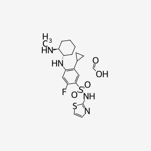 CN[C@H]1CCCC[C@@H]1Nc1cc(F)c(S(=O)(=O)Nc2nccs2)cc1C1CC1.O=CO